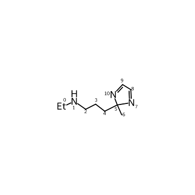 CCNCCCC1(C)N=CC=N1